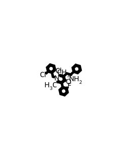 Cc1c(CC(N)c2ccccc2)c(=O)c(-c2ccccc2F)c(C)n1Cc1c(Cl)cccc1Cl